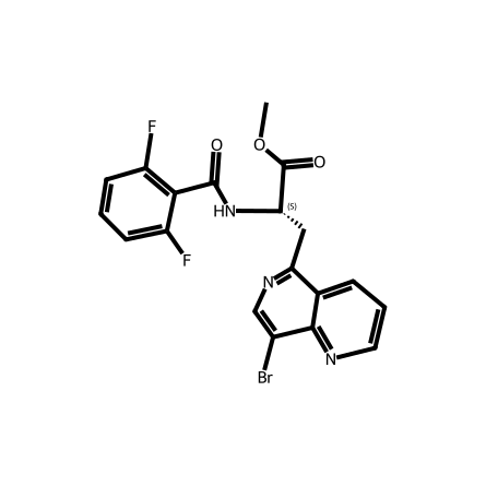 COC(=O)[C@H](Cc1ncc(Br)c2ncccc12)NC(=O)c1c(F)cccc1F